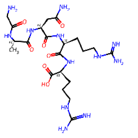 C[C@H](NC(=O)CN)C(=O)N[C@@H](CC(N)=O)C(=O)N[C@@H](CCCNC(=N)N)C(=O)N[C@@H](CCCNC(=N)N)C(=O)O